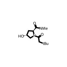 CNC(=O)[C@@H]1C[C@@H](O)CN1C(=O)CC(C)(C)C